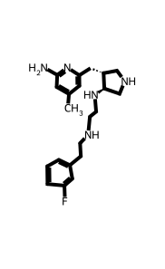 Cc1cc(N)nc(C[C@@H]2CNC[C@H]2NCCNCCc2cccc(F)c2)c1